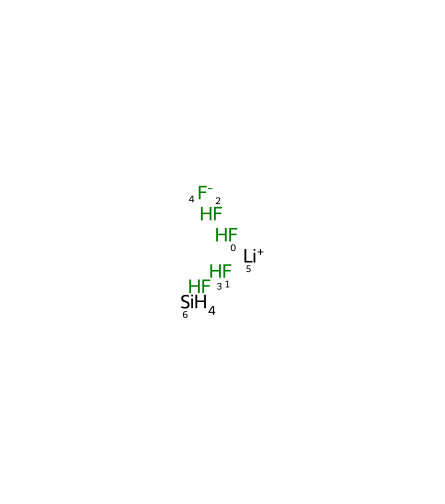 F.F.F.F.[F-].[Li+].[SiH4]